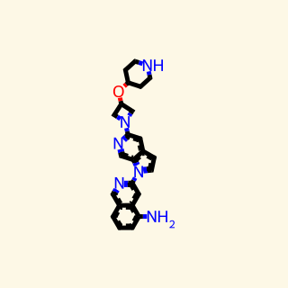 Nc1cccc2cnc(-n3ccc4cc(N5CC(OC6CCNCC6)C5)ncc43)cc12